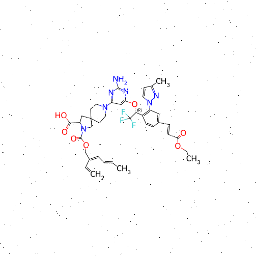 C=CC(=CC=CC)COC(=O)N1CC2(CCN(c3cc(O[C@H](c4ccc(C=CC(=O)OCC)cc4-n4ccc(C)n4)C(F)(F)F)nc(N)n3)CC2)CC1C(=O)O